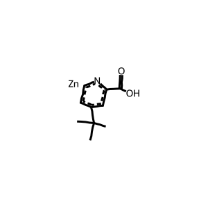 CC(C)(C)c1ccnc(C(=O)O)c1.[Zn]